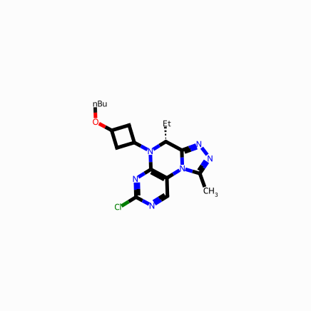 CCCCOC1CC(N2c3nc(Cl)ncc3-n3c(C)nnc3[C@H]2CC)C1